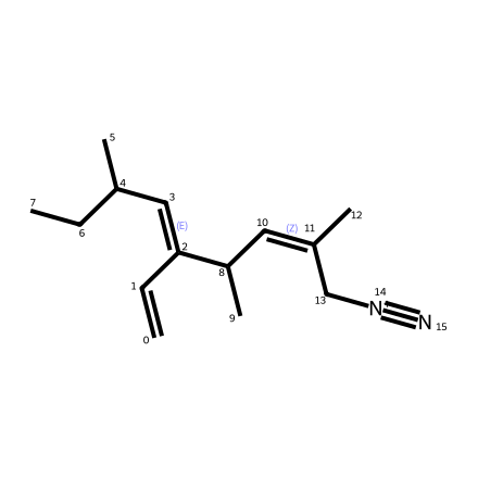 C=C/C(=C\C(C)CC)C(C)/C=C(/C)C[N+]#N